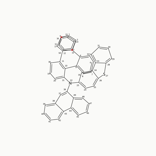 c1ccc(-c2ccccc2-c2c(-c3ccccc3)cccc2N(c2ccc3sc4ccccc4c3c2)c2cc3ccccc3c3ccccc23)cc1